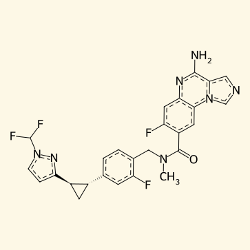 CN(Cc1ccc([C@@H]2C[C@H]2c2ccn(C(F)F)n2)cc1F)C(=O)c1cc2c(cc1F)nc(N)c1cncn12